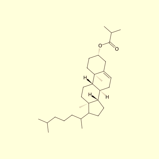 CC(C)CCCC(C)C1CC[C@H]2[C@@H]3CC=C4C[C@@H](OC(=O)C(C)C)CC[C@]4(C)[C@H]3CC[C@]12C